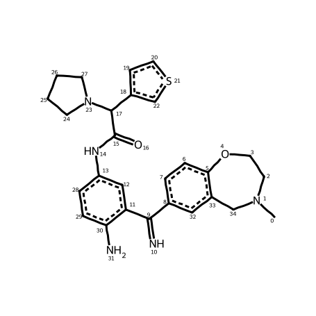 CN1CCOc2ccc(C(=N)c3cc(NC(=O)C(c4ccsc4)N4CCCC4)ccc3N)cc2C1